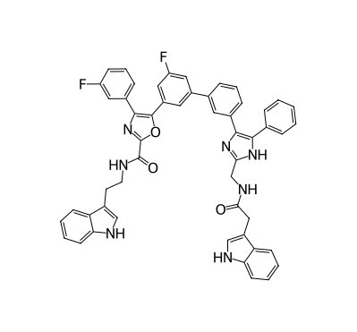 O=C(Cc1c[nH]c2ccccc12)NCc1nc(-c2cccc(-c3cc(F)cc(-c4oc(C(=O)NCCc5c[nH]c6ccccc56)nc4-c4cccc(F)c4)c3)c2)c(-c2ccccc2)[nH]1